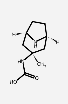 C[C@]1(NC(=O)O)C[C@H]2CC[C@@H](C1)N2